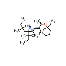 C=C(OC1(CC)CCCCC1)C1=C[C@H](C(N)(CC(C)(C)CC)C(C)(C)CC)CC=C1